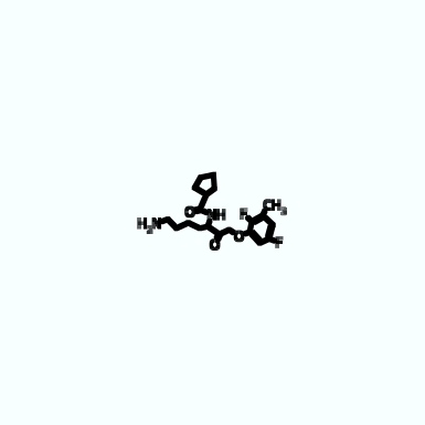 Cc1cc(F)cc(OCC(=O)C(CCCCN)NC(=O)C2CCCC2)c1F